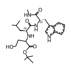 CNC(=O)[C@H](Cc1c[nH]c2ccccc12)NC(=O)[C@H](CC(C)C)NC(CCO)C(=O)OC(C)(C)C